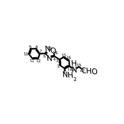 Nc1cc(-c2nc(-c3ccccc3)no2)ccc1NCC=O